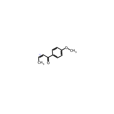 C/C=C\C(=O)c1ccc(OC)cc1